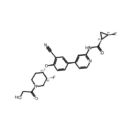 N#Cc1cc(-c2ccnc(NC(=O)[C@H]3C[C@H]3F)c2)ccc1O[C@H]1CCN(C(=O)CO)C[C@H]1F